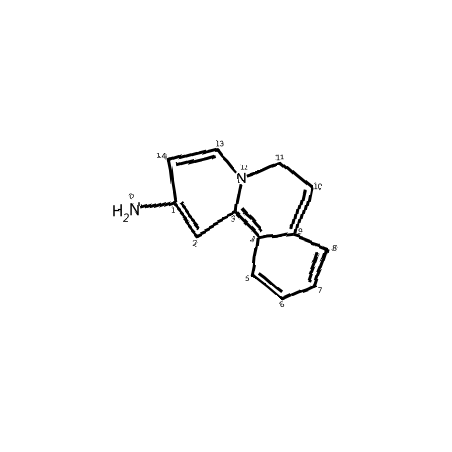 NC1=CC2=c3ccccc3=CCN2C=C1